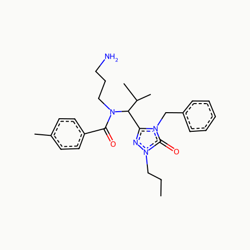 CCCn1nc(C(C(C)C)N(CCCN)C(=O)c2ccc(C)cc2)n(Cc2ccccc2)c1=O